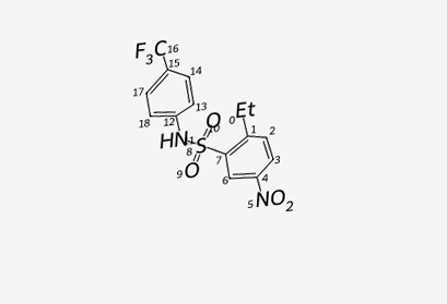 CCc1ccc([N+](=O)[O-])cc1S(=O)(=O)Nc1ccc(C(F)(F)F)cc1